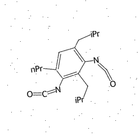 CCCc1cc(CC(C)C)c(N=C=O)c(CC(C)C)c1N=C=O